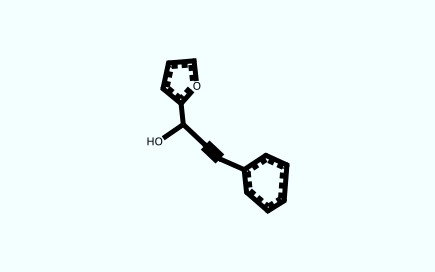 OC(C#Cc1ccccc1)c1ccco1